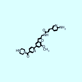 COc1cc(-c2ccc(C(=O)N3CCNCC3)cn2)cc2cc(CNC(=O)/C=C/c3ccc(N)nc3)oc12